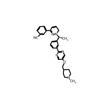 C[C@@H](c1cccc(-c2ncc(OCC3CCN(C)CC3)cn2)c1)N1CC=CC(c2cccc(C#N)c2)=N1